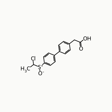 CC(Cl)[S+]([O-])c1ccc(-c2ccc(CC(=O)O)cc2)cc1